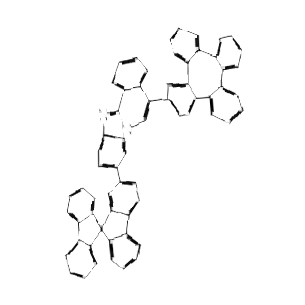 c1ccc2c(c1)-c1ccccc1-c1ccc(-c3cn4c5cc(-c6ccc7c(c6)C6(c8ccccc8-c8ccccc86)c6ccccc6-7)ccc5nc4c4ccccc34)cc1-c1ccccc1-2